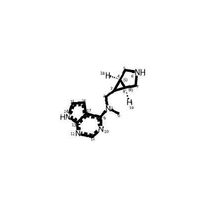 CN(CC1[C@H]2CNC[C@@H]12)c1ncnc2[nH]ccc12